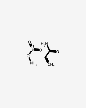 C=CC(N)=O.NO[SH](=O)=O